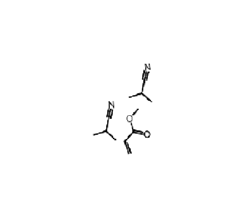 C=CC(=O)OC.CC(C)C#N.CC(C)C#N